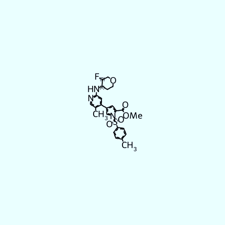 COC(=O)c1cc(-c2cc(N[C@@H]3CCOC[C@@H]3F)ncc2C)cn1S(=O)(=O)c1ccc(C)cc1